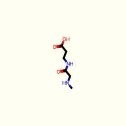 CNCC(=O)NCCC(=O)O